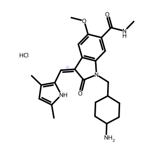 CNC(=O)c1cc2c(cc1OC)/C(=C/c1[nH]c(C)cc1C)C(=O)N2CC1CCC(N)CC1.Cl